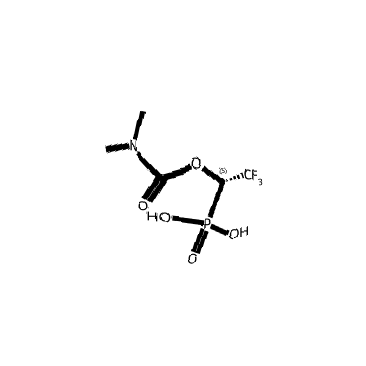 CN(C)C(=O)O[C@H](C(F)(F)F)P(=O)(O)O